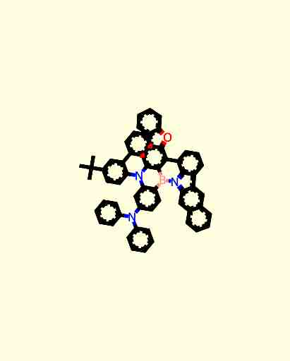 CC(C)(C)c1ccc(N2c3cc(N(c4ccccc4)c4ccccc4)ccc3B3c4c2cc2c(oc5ccccc52)c4-c2cccc4c5cc6ccccc6cc5n3c24)c(-c2ccccc2)c1